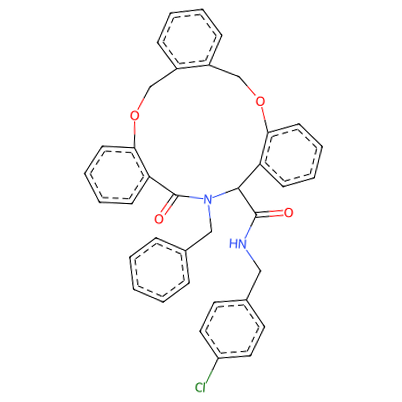 O=C(NCc1ccc(Cl)cc1)C1c2ccccc2OCc2ccccc2COc2ccccc2C(=O)N1Cc1ccccc1